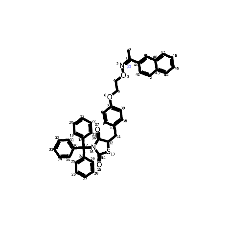 C/C(=N/OCCOc1ccc(CC2SC(=O)N(C(c3ccccc3)(c3ccccc3)c3ccccc3)C2=O)cc1)c1ccc2ccccc2c1